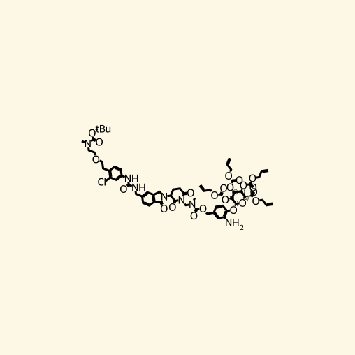 C=CCOC(=O)O[C@@H]1[C@@H](OC(=O)OCC=C)[C@H](Oc2ccc(COC(=O)N(C)CN3C(=O)CCC(N4Cc5cc(CNC(=O)Nc6ccc(CCOCCN(C)C(=O)OC(C)(C)C)c(Cl)c6)ccc5C4=O)C3=O)cc2N)O[C@H](C(=O)OCC=C)[C@H]1OC(=O)OCC=C